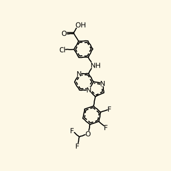 O=C(O)c1ccc(Nc2nccn3c(-c4ccc(OC(F)F)c(F)c4F)cnc23)cc1Cl